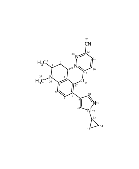 CC1CCc2c(ccc(-c3cnn(C4CC4)c3)c2Oc2ccc(C#N)nn2)N1C